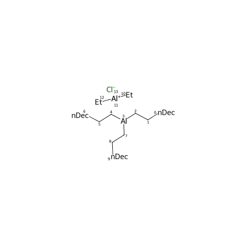 CCCCCCCCCCC[CH2][Al]([CH2]CCCCCCCCCCC)[CH2]CCCCCCCCCCC.C[CH2][Al+][CH2]C.[Cl-]